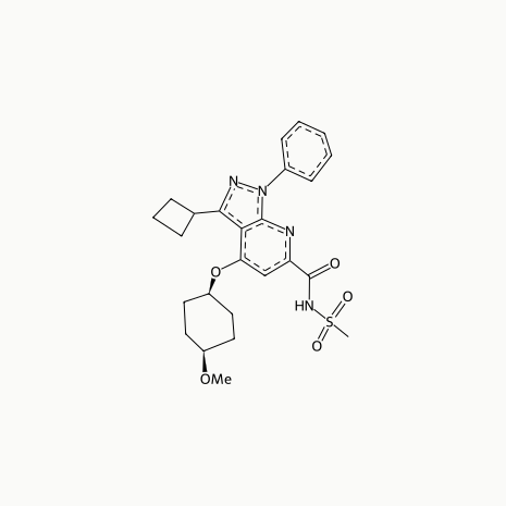 CO[C@H]1CC[C@@H](Oc2cc(C(=O)NS(C)(=O)=O)nc3c2c(C2CCC2)nn3-c2ccccc2)CC1